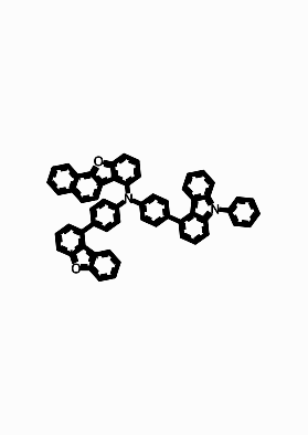 c1ccc(-n2c3ccccc3c3c(-c4ccc(N(c5ccc(-c6cccc7oc8ccccc8c67)cc5)c5cccc6oc7c8ccccc8ccc7c56)cc4)cccc32)cc1